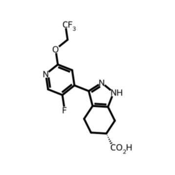 O=C(O)[C@@H]1CCc2c(-c3cc(OCC(F)(F)F)ncc3F)n[nH]c2C1